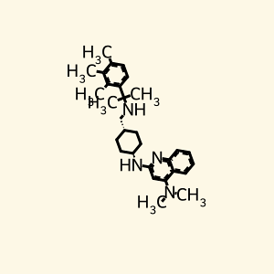 Cc1ccc(C(C)(C)NC[C@H]2CC[C@@H](Nc3cc(N(C)C)c4ccccc4n3)CC2)c(C)c1C